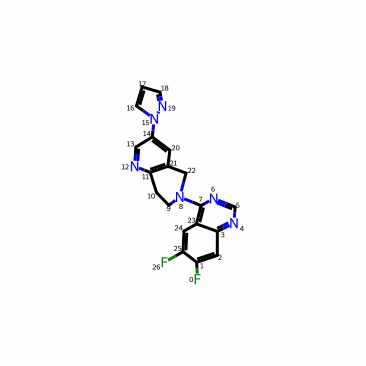 Fc1cc2ncnc(N3CCc4ncc(-n5cccn5)cc4C3)c2cc1F